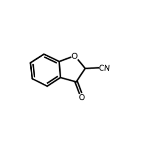 N#CC1Oc2ccccc2C1=O